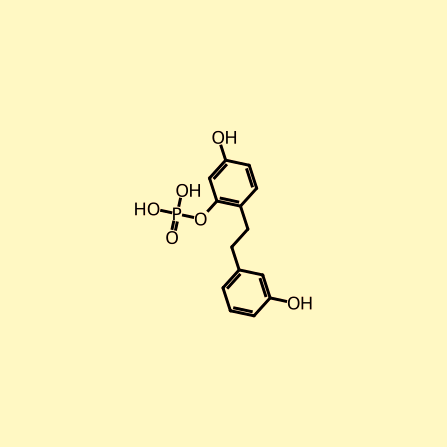 O=P(O)(O)Oc1cc(O)ccc1CCc1cccc(O)c1